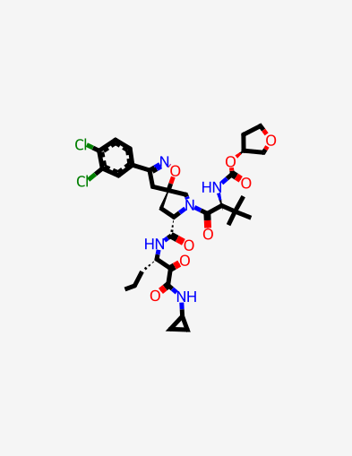 CCC[C@H](NC(=O)[C@@H]1C[C@]2(CC(c3ccc(Cl)c(Cl)c3)=NO2)CN1C(=O)[C@@H](NC(=O)O[C@H]1CCOC1)C(C)(C)C)C(=O)C(=O)NC1CC1